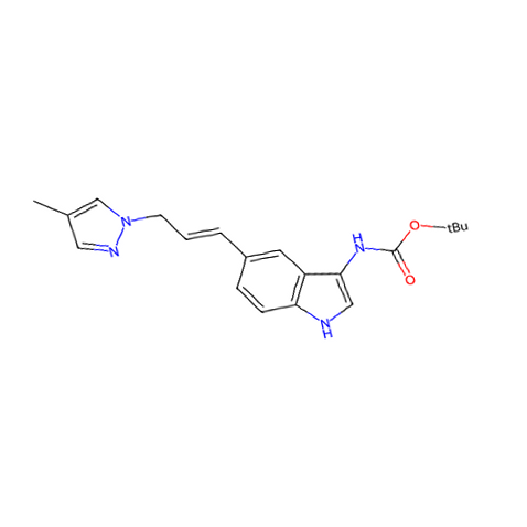 Cc1cnn(C/C=C/c2ccc3[nH]cc(NC(=O)OC(C)(C)C)c3c2)c1